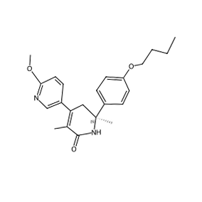 CCCCOc1ccc([C@]2(C)CC(c3ccc(OC)nc3)=C(C)C(=O)N2)cc1